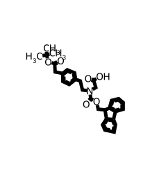 CC(C)(C)OC(=O)Cc1ccc(CCN(CC(=O)O)C(=O)OCC2c3ccccc3-c3ccccc32)cc1